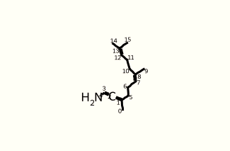 CC(=C=CN)CCC=C(C)CCC=C(C)C